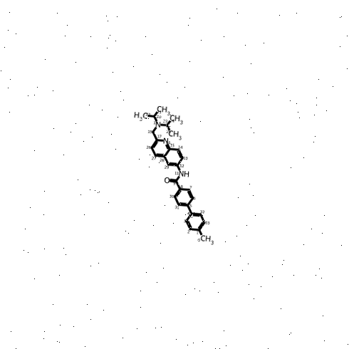 Cc1ccc(-c2ccc(C(=O)Nc3ccc4nc(CN(C(C)C)C(C)C)ccc4c3)cc2)cc1